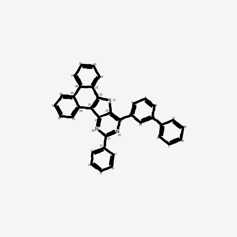 c1ccc(-c2cccc(-c3nc(-c4ccccc4)nc4c3sc3c5ccccc5c5ccccc5c43)c2)cc1